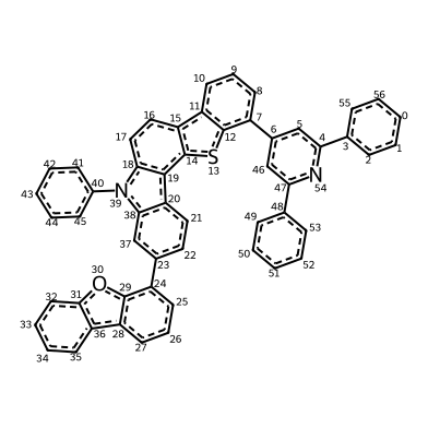 c1ccc(-c2cc(-c3cccc4c3sc3c4ccc4c3c3ccc(-c5cccc6c5oc5ccccc56)cc3n4-c3ccccc3)cc(-c3ccccc3)n2)cc1